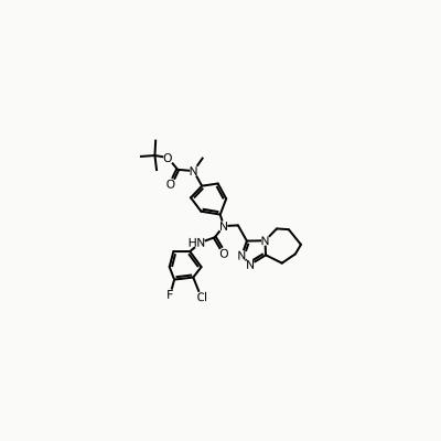 CN(C(=O)OC(C)(C)C)c1ccc(N(Cc2nnc3n2CCCCC3)C(=O)Nc2ccc(F)c(Cl)c2)cc1